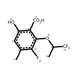 Cc1cc(O)c(C(=O)O)c(OC(C)C(F)(F)F)c1F